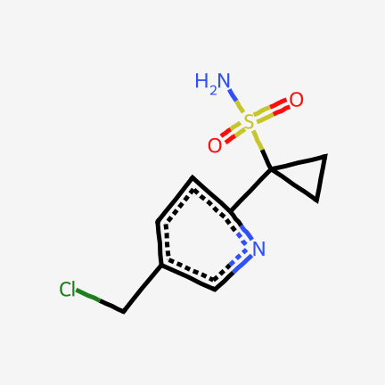 NS(=O)(=O)C1(c2ccc(CCl)cn2)CC1